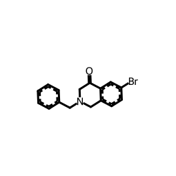 O=C1CN(Cc2ccccc2)Cc2ccc(Br)cc21